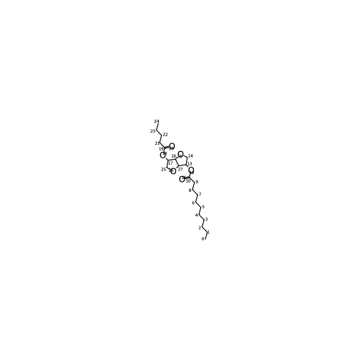 CCCCCCCCCCC(=O)OC1COC2C(OC(=O)CCCC)COC12